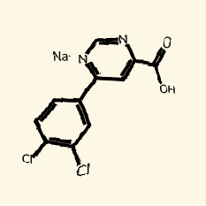 O=C(O)c1cc(-c2ccc(Cl)c(Cl)c2)ncn1.[Na]